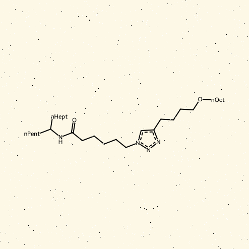 CCCCCCCCOCCCCc1cn(CCCCCC(=O)NC(CCCCC)CCCCCCC)nn1